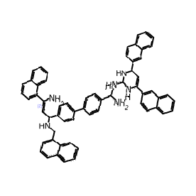 N/C(=C\C(NCc1cccc2ccccc12)c1ccc(-c2ccc(C(N)NC3NC(c4ccc5ccccc5c4)=CC(c4ccc5ccccc5c4)N3)cc2)cc1)c1cccc2ccccc12